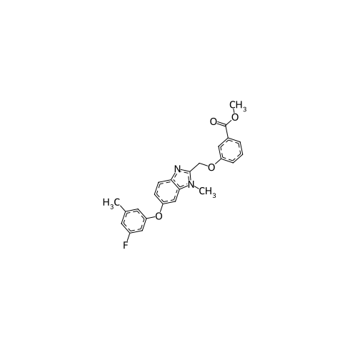 COC(=O)c1cccc(OCc2nc3ccc(Oc4cc(C)cc(F)c4)cc3n2C)c1